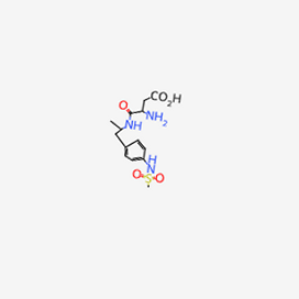 CC(Cc1ccc(NS(C)(=O)=O)cc1)NC(=O)C(N)CC(=O)O